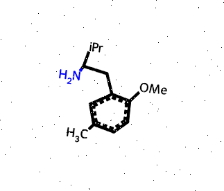 COc1ccc(C)cc1CC(N)C(C)C